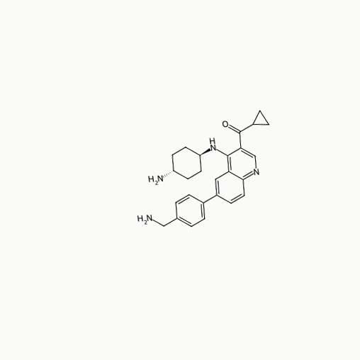 NCc1ccc(-c2ccc3ncc(C(=O)C4CC4)c(N[C@H]4CC[C@H](N)CC4)c3c2)cc1